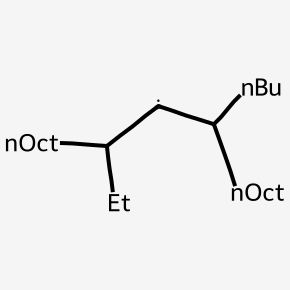 CCCCCCCCC([CH]C(CCCC)CCCCCCCC)CC